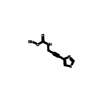 CC(C)(C)OC(=O)NCC#Cc1cscn1